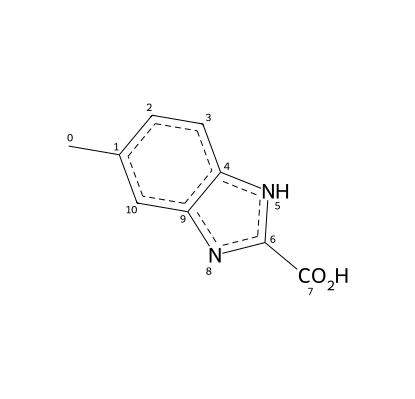 Cc1ccc2[nH]c(C(=O)O)nc2c1